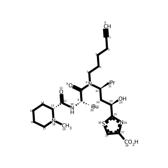 C#CCCCCN(C(=O)[C@@H](NC(=O)[C@H]1CCCCN1C)[C@@H](C)CC)[C@H](C[C@@H](O)c1nc(C(=O)O)cs1)C(C)C